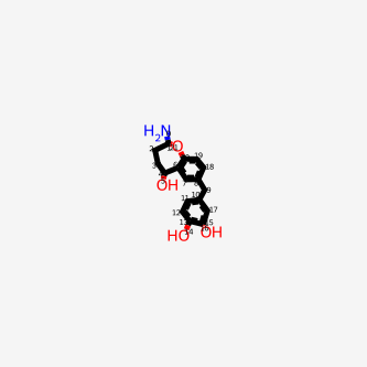 NC1CCC(O)c2cc(Cc3ccc(O)c(O)c3)ccc2O1